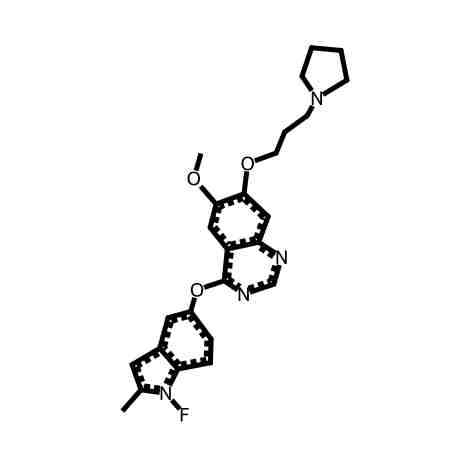 COc1cc2c(Oc3ccc4c(c3)cc(C)n4F)ncnc2cc1OCCCN1CCCC1